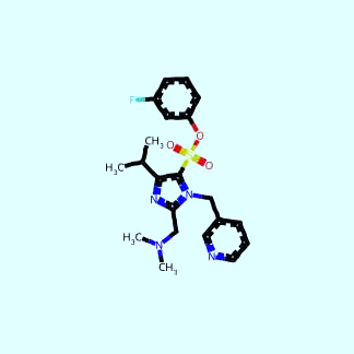 CC(C)c1nc(CN(C)C)n(Cc2cccnc2)c1S(=O)(=O)Oc1cccc(F)c1